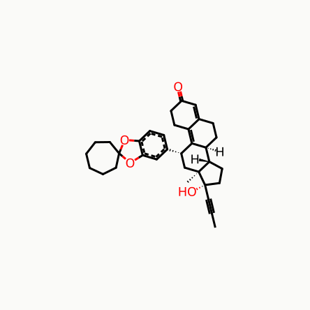 CC#C[C@]1(O)CC[C@H]2[C@@H]3CCC4=CC(=O)CCC4=C3[C@@H](c3ccc4c(c3)OC3(CCCCCC3)O4)C[C@@]21C